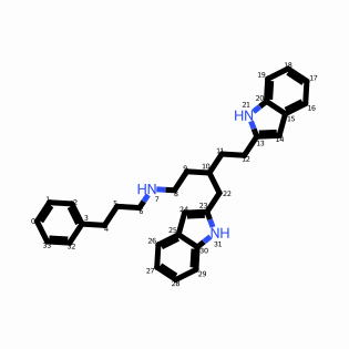 c1ccc(CCCNCCC(CCc2cc3ccccc3[nH]2)Cc2cc3ccccc3[nH]2)cc1